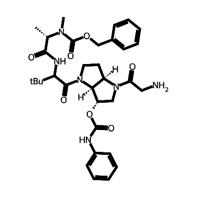 C[C@@H](C(=O)NC(C(=O)N1CC[C@@H]2[C@H]1[C@@H](OC(=O)Nc1ccccc1)CN2C(=O)CN)C(C)(C)C)N(C)C(=O)OCc1ccccc1